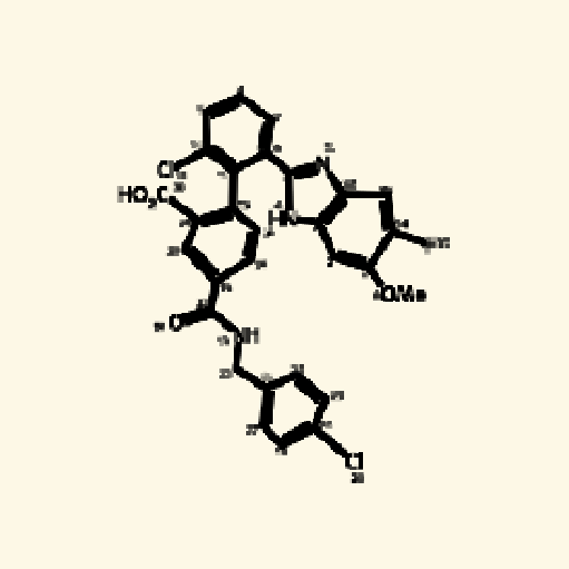 COc1cc2[nH]c(-c3cccc(Cl)c3-c3ccc(C(=O)NCc4ccc(Cl)cc4)cc3C(=O)O)nc2cc1F